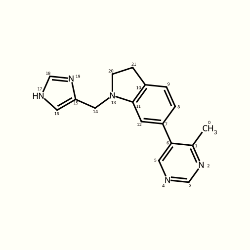 Cc1ncncc1-c1ccc2c(c1)N(Cc1c[nH]cn1)CC2